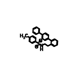 Cc1ccc(S(=O)(=O)NCCc2ccccc2-c2ccc(-c3ccccc3)cc2)cc1